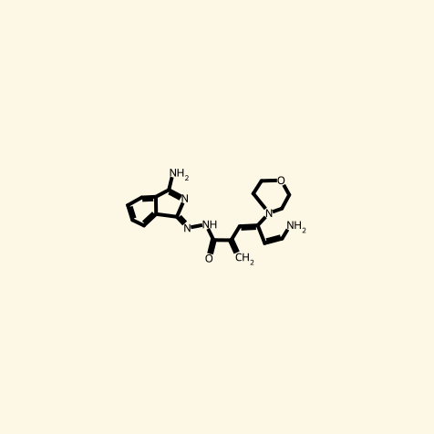 C=C(/C=C(\C=C/N)N1CCOCC1)C(=O)N/N=C1\N=C(N)c2ccccc21